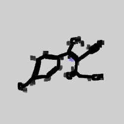 C/C(=C(\C#N)C(=O)O)c1ccc(Cl)cc1